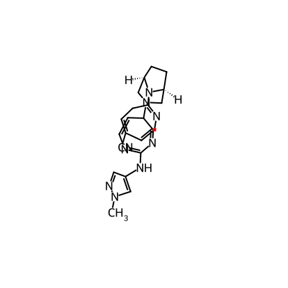 Cn1cc(NC2=NC=CC(N3C[C@H]4CC[C@@H](C3)N4C3=NC=CC(C#N)=CC3)C=N2)cn1